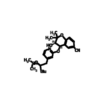 C[SiH](C)OC(Cc1ccnc(O[C@@H]2c3cc(C#N)ccc3OC(C)(C)[C@H]2O)c1)C(C)(C)C